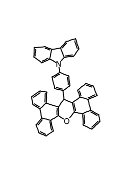 c1ccc2c(c1)c1c(c3ccccc32)C(c2ccc(-n3c4ccccc4c4ccccc43)cc2)c2c(c3ccccc3c3ccccc23)O1